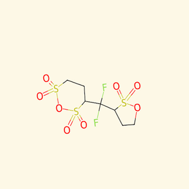 O=S1(=O)CCC(C(F)(F)C2CCOS2(=O)=O)S(=O)(=O)O1